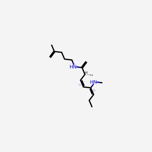 C=C(C)CCCNC(=C)[C@H](C)/C=C\C(=C/CC)NC